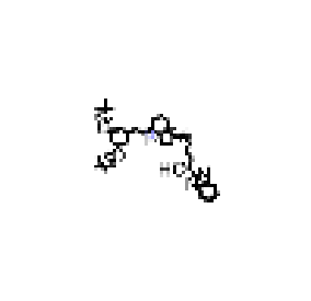 C[C@H](CCCC(O)c1nc2ccccc2n1C)[C@H]1CC[C@H]2/C(=C/C=C3C[C@@H](O[Si](C)(C)C(C)(C)C)C[C@H](O[Si](C)(C)C(C)(C)C)C3)CCC[C@]12C